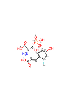 NC(C(=O)O)C(O)OP(=O)(O)O.O=C(O)/C=C/c1ccc(O)cc1F